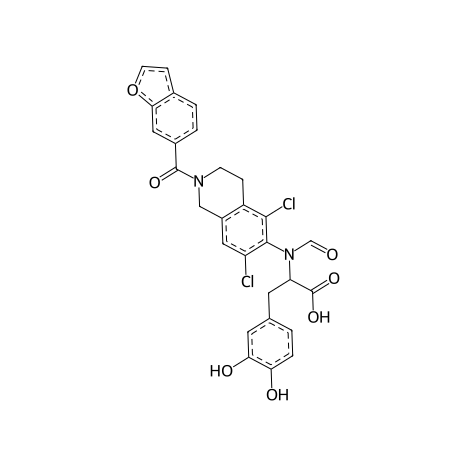 O=CN(c1c(Cl)cc2c(c1Cl)CCN(C(=O)c1ccc3ccoc3c1)C2)C(Cc1ccc(O)c(O)c1)C(=O)O